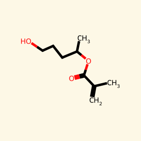 C=C(C)C(=O)OC(C)CCCO